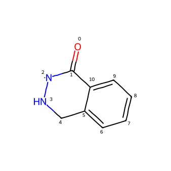 O=C1[N]NCc2ccccc21